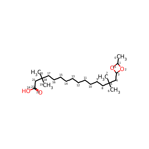 CC1OC(CC(C)(C)CCCCCCCCCCC(C)(C)CC(=O)O)O1